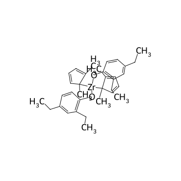 CCc1ccc([O][Zr]([O]c2ccc(CC)cc2CC)([C]2(C)C=CC=C2C)[C]2(C)C=CC=C2C)c(CC)c1